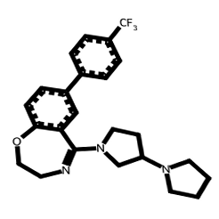 FC(F)(F)c1ccc(-c2ccc3c(c2)C(N2CCC(N4CCCC4)C2)=NCCO3)cc1